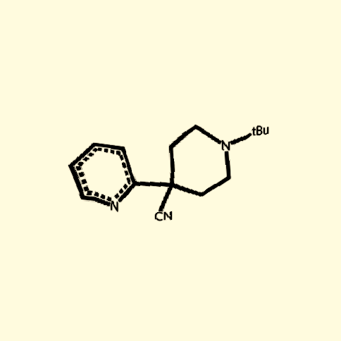 CC(C)(C)N1CCC(C#N)(c2ccccn2)CC1